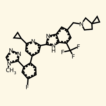 Cn1cnnc1-c1cc(F)ccc1-c1cc(-c2nc3cc(CN4CCC5(CC5)C4)cc(C(F)(F)F)c3[nH]2)nc(C2CC2)c1